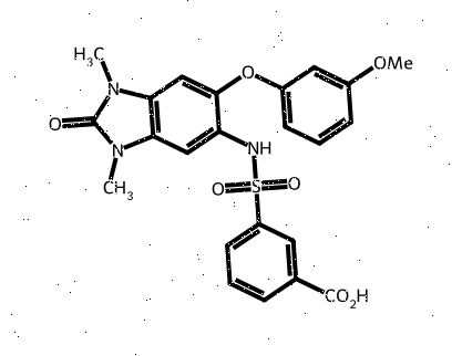 COc1cccc(Oc2cc3c(cc2NS(=O)(=O)c2cccc(C(=O)O)c2)n(C)c(=O)n3C)c1